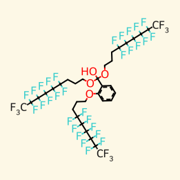 OC(OCCCC(F)(F)C(F)(F)C(F)(F)C(F)(F)C(F)(F)C(F)(F)F)(OCCCC(F)(F)C(F)(F)C(F)(F)C(F)(F)C(F)(F)C(F)(F)F)c1ccccc1OCCCC(F)(F)C(F)(F)C(F)(F)C(F)(F)C(F)(F)C(F)(F)F